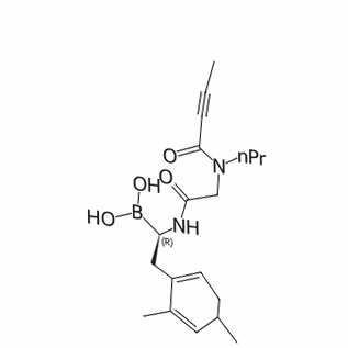 CC#CC(=O)N(CCC)CC(=O)N[C@@H](CC1=CCC(C)C=C1C)B(O)O